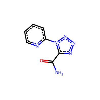 NC(=O)c1nnnn1-c1ccccn1